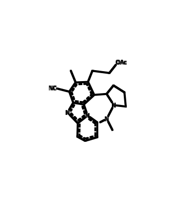 CC(=O)OCCc1c(C)c(C#N)c2nc3ccccn3c2c1C1CCCN1N(C)C